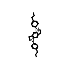 CCCc1ccc(-n2ccc3cc4c(ccn4-c4ccc(CCC)cc4)cc32)cc1